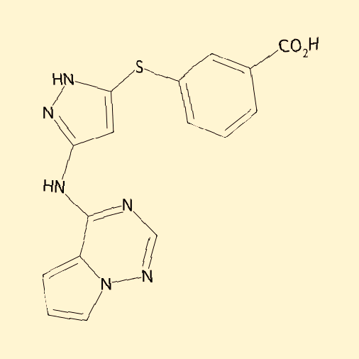 O=C(O)c1cccc(Sc2cc(Nc3ncnn4cccc34)n[nH]2)c1